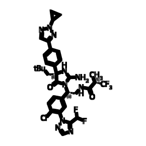 C[C@@H](C(=O)NC[C@H](c1ccc(Cl)c(-n2ncnc2C(F)F)c1)N1C(=O)[C@@](CC(C)(C)C)(c2ccc(-c3cnn(C4CC4)n3)cc2)NC1N)C(F)(F)F